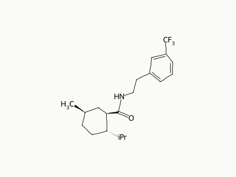 CC(C)[C@@H]1CC[C@@H](C)C[C@H]1C(=O)NCCc1cccc(C(F)(F)F)c1